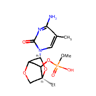 CC[C@]12COC(C1OP(=O)(O)OC)[C@H](n1cc(C)c(N)nc1=O)O2